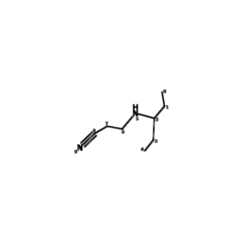 CCC(CC)NCCC#N